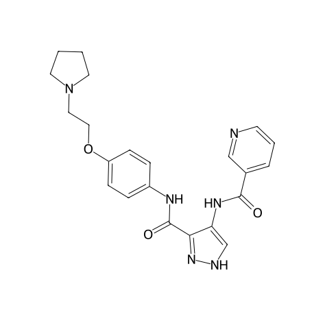 O=C(Nc1c[nH]nc1C(=O)Nc1ccc(OCCN2CCCC2)cc1)c1cccnc1